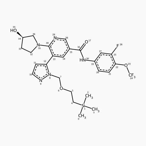 C[Si](C)(C)CCOCn1nccc1-c1cc(C(=O)Nc2ccc(OC(F)(F)F)c(F)c2)cnc1N1CC[C@@H](O)C1